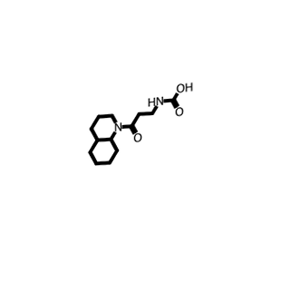 O=C(O)NCCC(=O)N1CCCC2CCCCC21